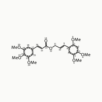 COc1cc(OC)c(OC)cc1/C=C/COC(=O)/C=C/c1cc(OC)c(OC)c(OC)c1